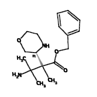 CC(C)(N)C(C)(C(=O)OCc1ccccc1)[C@@H]1COCCN1